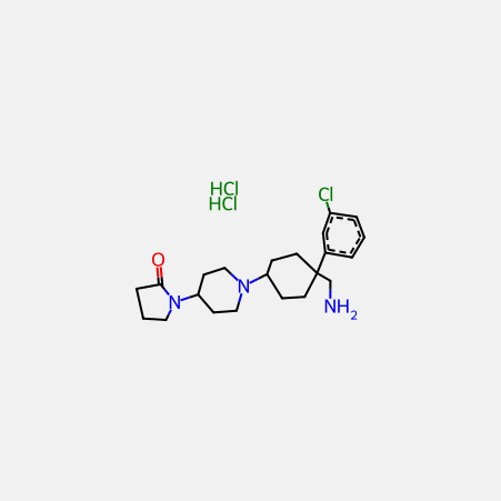 Cl.Cl.NCC1(c2cccc(Cl)c2)CCC(N2CCC(N3CCCC3=O)CC2)CC1